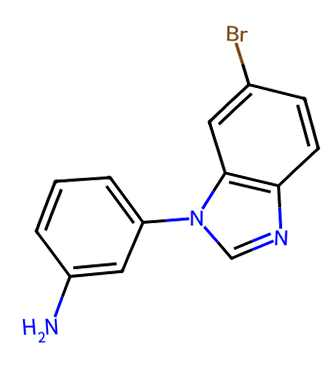 Nc1cccc(-n2cnc3ccc(Br)cc32)c1